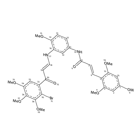 COc1cc(OC)c(C=CC(=O)Nc2ccc(OC)c(NC=CC(=O)c3cc(OC)c(OC)c(OC)c3Br)c2)c(OC)c1